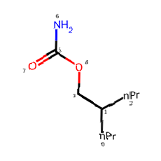 CCCC(CCC)COC(N)=O